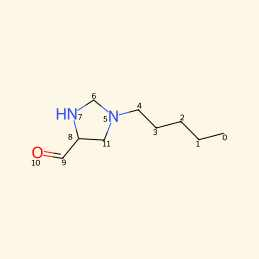 CCCCCN1CNC(C=O)C1